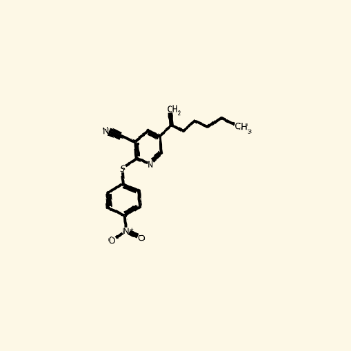 C=C(CCCCC)c1cnc(Sc2ccc([N+](=O)[O-])cc2)c(C#N)c1